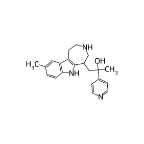 Cc1ccc2[nH]c3c(c2c1)CCNCC3CC(C)(O)c1ccncc1